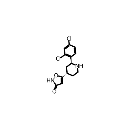 O=c1cc([C@H]2CCN[C@H](c3ccc(Cl)cc3Cl)C2)o[nH]1